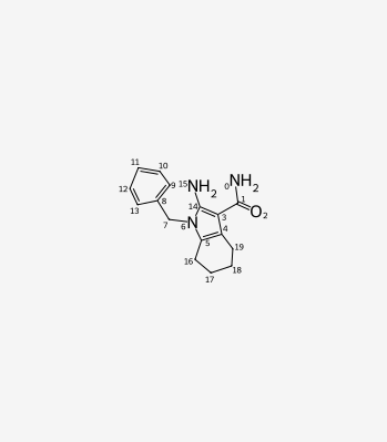 NC(=O)c1c2c(n(Cc3ccccc3)c1N)CCCC2